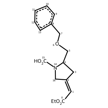 CCOC(=O)C=C1CC(COCc2ccccc2)N(C(=O)O)C1